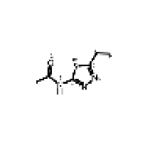 [CH2]C(=O)Nc1nnc(CC)s1